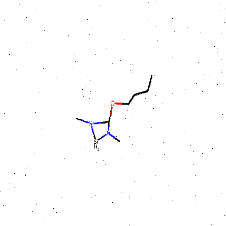 CCCCOC1N(C)[SiH2]N1C